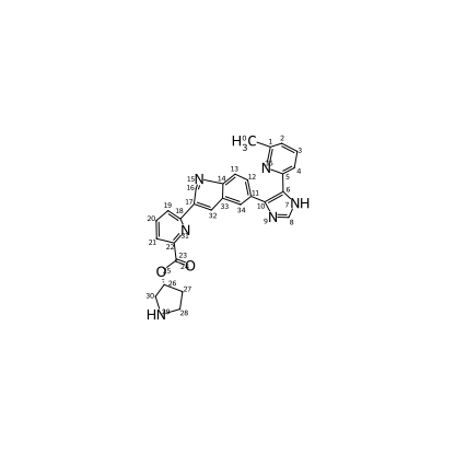 Cc1cccc(-c2[nH]cnc2-c2ccc3ncc(-c4cccc(C(=O)O[C@@H]5CCNC5)n4)cc3c2)n1